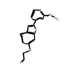 COc1cc(-c2cc3ccc(OCCF)cc3s2)ccn1